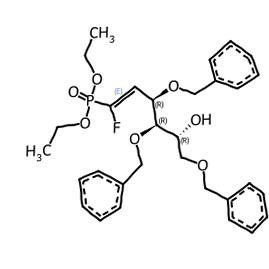 CCOP(=O)(OCC)/C(F)=C/[C@@H](OCc1ccccc1)[C@H](OCc1ccccc1)[C@H](O)COCc1ccccc1